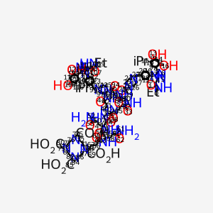 CCNC(=O)c1nnc(-c2cc(C(C)C)c(O)cc2O)n1-c1ccc(CN2CCN(C(=O)C[C@H](NC(=O)CCNC(=O)[C@@H](CCC(N)=O)NC(=O)[C@@H](CCC(N)=O)NC(=O)[C@@H](CCC(N)=O)NC(=O)CC[C@H](C(=O)O)N3CCN(CC(=O)O)CCN(CC(=O)O)CCN(CC(=O)O)CC3)C(=O)N[C@H](C)C(=O)N3CCN(Cc4ccc(-n5c(C(=O)NCC)nnc5-c5cc(C(C)C)c(O)cc5O)cc4)CC3)CC2)cc1